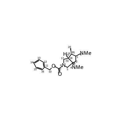 CNC1C[C@]2(NC)CN(C(=O)OCc3ccccc3)C[C@@H]2[C@H]1C